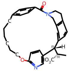 C[C@H](C(=O)O)[C@@H]1c2ccc(nc2)OCCCCCCc2ccc(cc2)C(=O)N2CCc3ccc1cc3C2